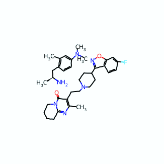 Cc1cc(N(C)C)ccc1C[C@H](C)N.Cc1nc2n(c(=O)c1CCN1CCC(c3noc4cc(F)ccc34)CC1)CCCC2